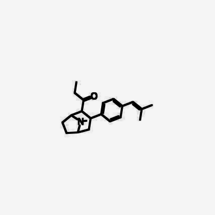 CCC(=O)C1C(c2ccc(C=C(C)C)cc2)CC2CCC1N2C